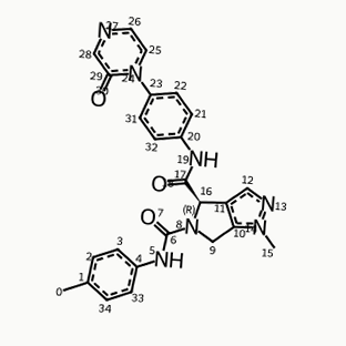 Cc1ccc(NC(=O)N2Cc3c(cnn3C)[C@@H]2C(=O)Nc2ccc(-n3ccncc3=O)cc2)cc1